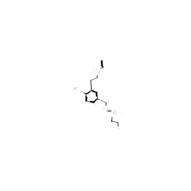 C=CNCCc1cc(CNNCCF)ccc1O